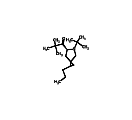 CCCC1C[C@]12C[C@@H](C(=O)C(C)(C)C)N(C(C)(C)C)C2